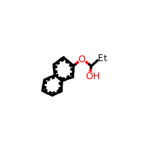 [CH2]CC(O)Oc1ccc2ccccc2c1